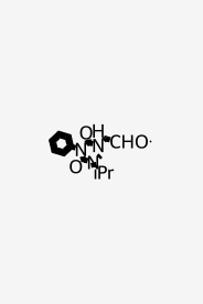 CC(C)N(C)C(=O)N(C(=O)NC[C]=O)c1ccccc1